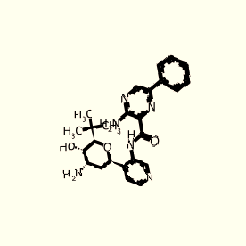 CC(C)(C)[C@H]1O[C@@H](c2ccncc2NC(=O)c2nc(-c3ccccc3)cnc2N)C[C@H](N)[C@@H]1O